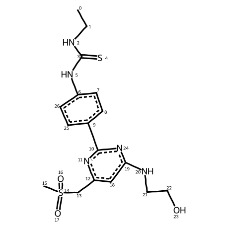 CCNC(=S)Nc1ccc(-c2nc(CS(C)(=O)=O)cc(NCCO)n2)cc1